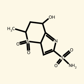 CC1CC(O)C2=NC(S(N)(=O)=O)=CC2S1(=O)=O